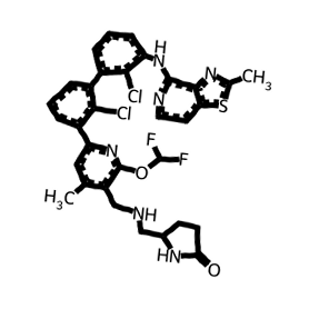 Cc1nc2c(Nc3cccc(-c4cccc(-c5cc(C)c(CNCC6CCC(=O)N6)c(OC(F)F)n5)c4Cl)c3Cl)nccc2s1